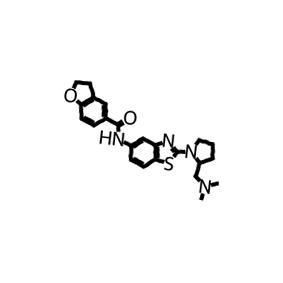 CN(C)CC1CCCN1c1nc2cc(NC(=O)c3ccc4c(c3)CCO4)ccc2s1